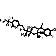 BC(B)(B)c1ccc(CNC(B)(B)C2(F)CCN(C(=O)c3ccc(F)c(Cl)c3)C(B)(B)C2)nc1